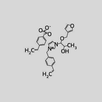 C=Cc1ccc(C[n+]2ccn(C(OCc3ccoc3)C(C)O)c2)cc1.C=Cc1ccc(S(=O)(=O)[O-])cc1